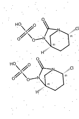 O=C1N2C[C@@H](CC[C@H]2Cl)N1OS(=O)(=O)O.O=C1N2C[C@@H](CC[C@H]2Cl)N1OS(=O)(=O)O